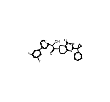 O=C(C(O)c1cccc(-c2cc(F)cc(F)c2)c1)N1CCc2nc(C3(c4ccccc4)CC3)[nH]c(=O)c2C1